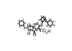 O=C(Cc1ccccc1)N[C@@H]1C(=O)N2C(C(=O)O)=C(Sc3ccnn3-c3ccccc3)CS[C@@H]12